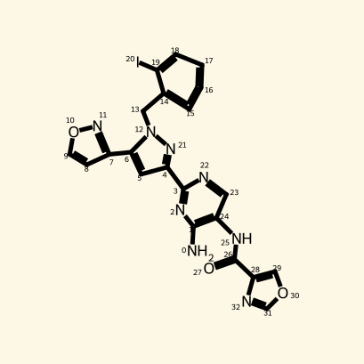 Nc1nc(-c2cc(-c3ccon3)n(CC3=C=C=CC=C3I)n2)ncc1NC(=O)c1cocn1